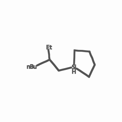 CCCCC(CC)C[SiH]1CCCC1